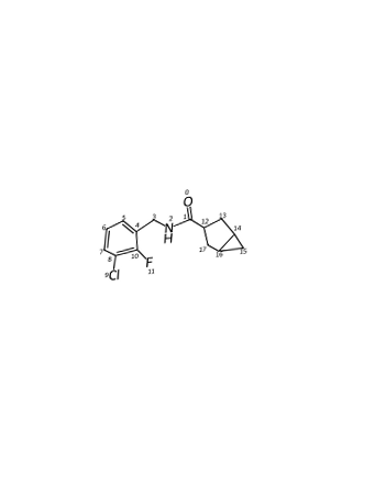 O=C(NCc1cccc(Cl)c1F)C1CC2CC2C1